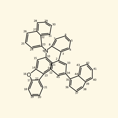 c1cc(-c2ccccc2N(c2ccc3c(c2)oc2ccccc23)c2cccc3ccccc23)cc(-c2cccc3ccccc23)c1